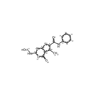 CCCCCCCCNc1nc2sc(C(=O)Nc3ccccc3)c(C)c2c(=O)o1